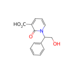 O=C(O)c1cccn(C(CO)c2ccccc2)c1=O